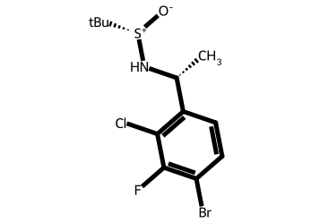 C[C@@H](N[S@@+]([O-])C(C)(C)C)c1ccc(Br)c(F)c1Cl